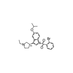 CCN1CC[C@H](c2cn(S(=O)(=O)c3ccccc3Br)c3ccc(OC(C)C)cc23)C1